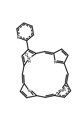 [O-][NH+]1C2=CC(c3ccccn3)=C1C=C1C=CC(=N1)C=c1ccc([nH]1)=CC1=NC(=C2)C=C1